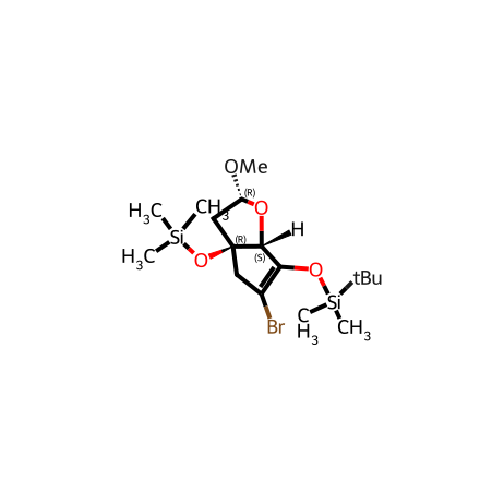 CO[C@H]1C[C@@]2(O[Si](C)(C)C)CC(Br)=C(O[Si](C)(C)C(C)(C)C)[C@H]2O1